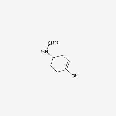 O=CNC1CC=C(O)CC1